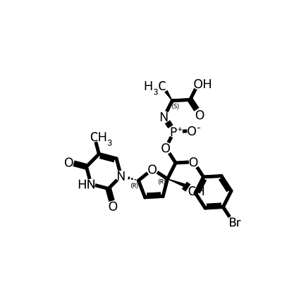 C#C[C@@]1(C(Oc2ccc(Br)cc2)O[P+]([O-])=N[C@@H](C)C(=O)O)C=C[C@H](n2cc(C)c(=O)[nH]c2=O)O1